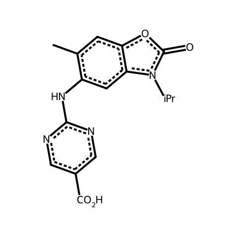 Cc1cc2oc(=O)n(C(C)C)c2cc1Nc1ncc(C(=O)O)cn1